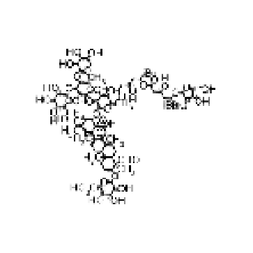 CC[C@H](C)C(C[C@@H](O)CC(=O)O[C@@H]1[C@H](O)[C@@H](O[C@@H]2O[C@@H](C)[C@H](O[C@@H]3OC[C@@H](O)[C@H](O)C3O)C(O[C@H]3O[C@@H](CO)[C@H](O)[C@@H](O)[C@@H]3O)[C@H]2O)[C@H](OC(=O)[C@]23CCC(C)(C)C[C@@]2(C)C2=CCC4[C@@]5(C)CC[C@H](O[C@@H]6O[C@H](C(=O)O)[C@@H](O)[C@H](O)[C@H]6O)[C@@](C)(C=O)C5CC[C@@]4(C)[C@]2(C)C[C@H]3O)O[C@@H]1C)OC(=O)C[C@H](O)CC(O[C@H]1O[C@H](CO)[C@@H](O)[C@@H]1O)[C@@H](C)CC